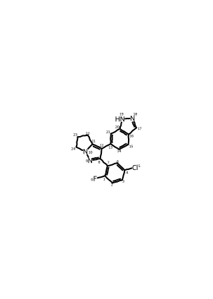 Fc1ccc(Cl)cc1-c1nn2c(c1-c1ccc3cn[nH]c3c1)CCC2